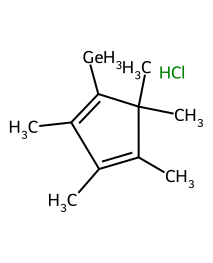 CC1=C(C)C(C)(C)[C]([GeH3])=C1C.Cl